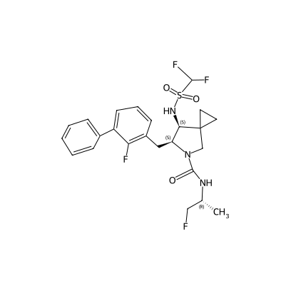 C[C@H](CF)NC(=O)N1CC2(CC2)[C@H](NS(=O)(=O)C(F)F)[C@@H]1Cc1cccc(-c2ccccc2)c1F